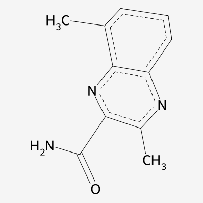 Cc1nc2cccc(C)c2nc1C(N)=O